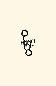 CC1[C@@H]2Cc3ccccc3[C@@]1(C)CCN2Cc1ccccc1.Cl